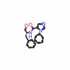 O=C[C@H](Cc1ccccc1)NC(=O)c1cncn1-c1ccccc1